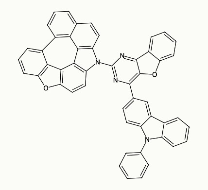 c1ccc(-n2c3ccccc3c3cc(-c4nc(-n5c6ccc7cccc8c7c6c6c7c(ccc65)oc5cccc-8c57)nc5c4oc4ccccc45)ccc32)cc1